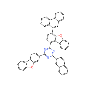 C1=C(c2nc(-c3ccc4ccccc4c3)nc(-c3ccc(-c4cc5ccccc5c5ccccc45)c4oc5ccccc5c34)n2)C=C2Oc3ccccc3C2C1